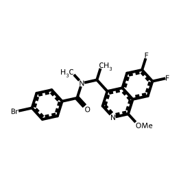 COc1ncc(C(C)N(C)C(=O)c2ccc(Br)cc2)c2cc(F)c(F)cc12